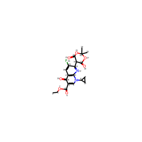 CCOC(=O)c1cn(C2CC2)c2nc(C3C(=O)OC(C)(C)OC3=O)c(F)cc2c1=O